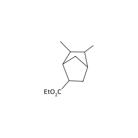 CCOC(=O)C1CC2CC1C(C)C2C